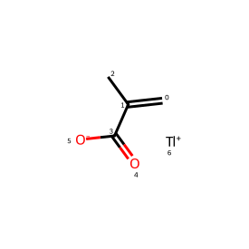 C=C(C)C(=O)[O-].[Tl+]